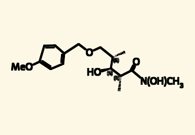 COc1ccc(COC[C@H](C)[C@H](O)[C@@H](C)C(=O)N(C)O)cc1